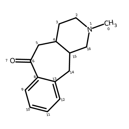 CN1CCC2CC(=O)c3ccccc3CC2C1